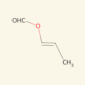 CC=CO[C]=O